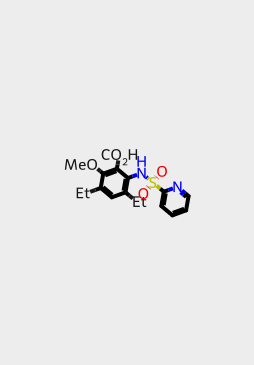 CCc1cc(CC)c(OC)c(C(=O)O)c1NS(=O)(=O)c1ccccn1